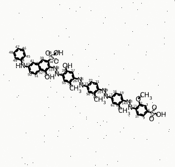 COc1cc(S(=O)(=O)O)ccc1N=Nc1ccc(N=Nc2ccc(N=Nc3cc(O)c(N=Nc4c(S(=O)(=O)O)cc5cc(Nc6ccccc6)ccc5c4O)cc3C)cc2C)cc1C